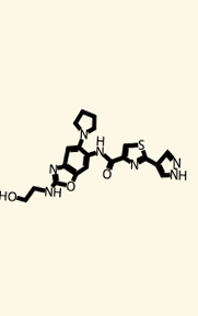 O=C(Nc1cc2oc(NCCO)nc2cc1N1CCCC1)c1csc(-c2cn[nH]c2)n1